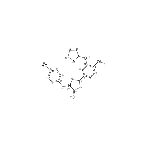 COc1ccc(C2CC(=O)N(Cc3ccc(O)cc3)C2)cc1OC1CCCC1